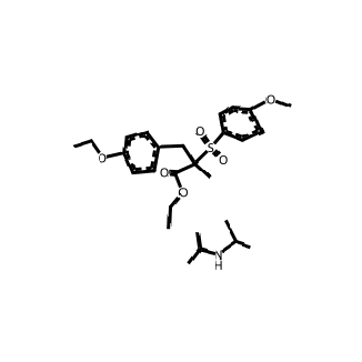 CC(C)NC(C)C.CCOC(=O)C(C)(Cc1ccc(OCC)cc1)S(=O)(=O)c1ccc(OC)cc1